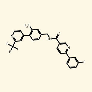 Cc1cc(CNC(=O)c2ccc(-c3cccc(F)c3)nc2)cnc1-c1ccnc(C(F)(F)F)c1